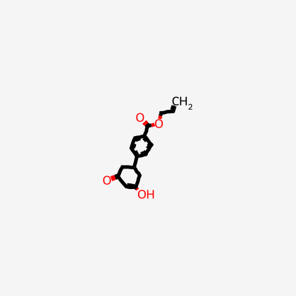 C=CCOC(=O)c1ccc(C2CC(=O)C=C(O)C2)cc1